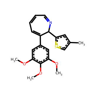 COc1cc(C2=CC=CC=NC2c2cc(C)cs2)cc(OC)c1OC